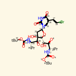 CC(C)[C@H](NC(=O)OC(C)(C)C)C(=O)C(O)[C@H]1O[C@@H](n2cc(/C=C/Br)c(=O)[nH]c2=O)C[C@@]1(O)C(=O)[C@@H](NC(=O)OC(C)(C)C)C(C)C